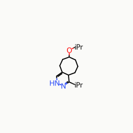 CC(C)OC1CCCC2C(=CNN=C2C(C)C)CC1